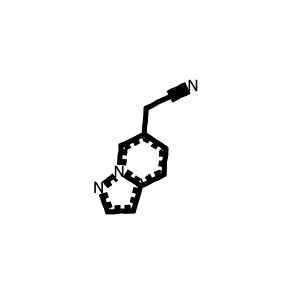 N#CCc1ccc2ccnn2c1